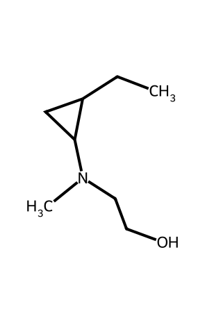 CCC1CC1N(C)CCO